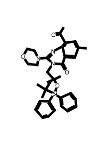 CC(=O)c1cc(C)cc2c(=O)n(CC(C)(C)O[Si](c3ccccc3)(c3ccccc3)C(C)(C)C)c(N3CCOCC3)nc12